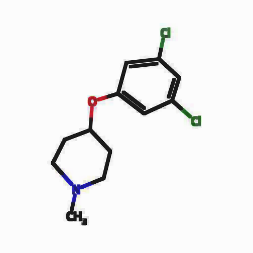 CN1CCC(Oc2cc(Cl)cc(Cl)c2)CC1